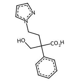 O=C(O)C(CO)(CCn1cccn1)c1ccccc1